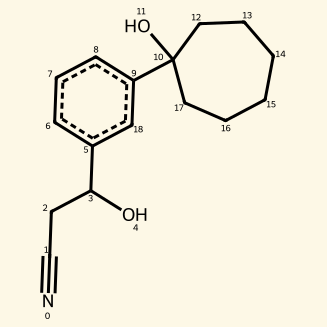 N#CCC(O)c1cccc(C2(O)CCCCCC2)c1